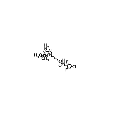 CN(C)c1nc(N)c2ncn(CCCCCOC(=O)NCc3c(F)cc(Cl)cc3F)c2n1